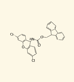 O=C(NC1c2ccc(Cl)cc2Oc2cc(Cl)ccc21)OCC1c2ccccc2-c2ccccc21